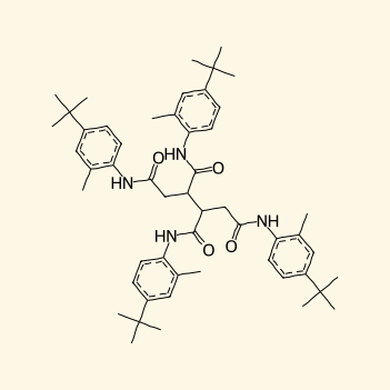 Cc1cc(C(C)(C)C)ccc1NC(=O)CC(C(=O)Nc1ccc(C(C)(C)C)cc1C)C(CC(=O)Nc1ccc(C(C)(C)C)cc1C)C(=O)Nc1ccc(C(C)(C)C)cc1C